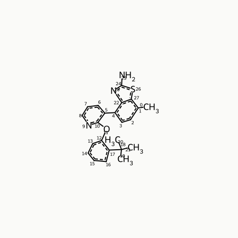 Cc1ccc(-c2cccnc2Oc2ccccc2C(C)(C)C)c2nc(N)sc12